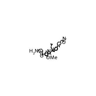 COc1cc(C(=O)N2CCC[C@@H](N)C2)cn2nc(-c3cc4ccc(N5CCC(CC(=O)N(C)C)CC5)cc4n3CC3CC3)c(C)c12